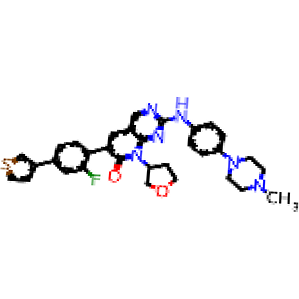 CN1CCN(c2ccc(Nc3ncc4cc(-c5ccc(-c6ccsc6)cc5F)c(=O)n(C5CCOC5)c4n3)cc2)CC1